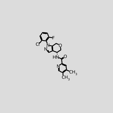 Cc1cnc(C(=O)N[C@H]2COCc3c2cnn3-c2c(F)cccc2Cl)cc1C